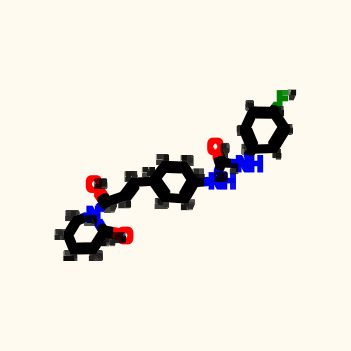 O=C(Nc1ccc(F)cc1)Nc1ccc(/C=C/C(=O)N2CCC=CC2=O)cc1